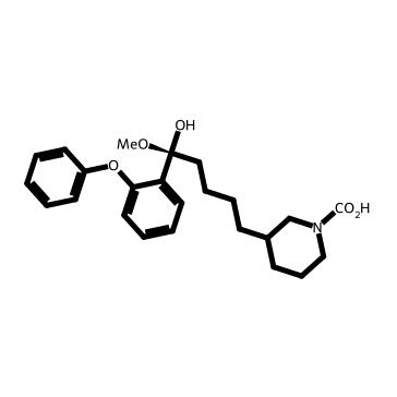 CO[C@@](O)(CCCCC1CCCN(C(=O)O)C1)c1ccccc1Oc1ccccc1